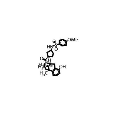 COc1ccc(S(=O)(=O)NC2CC[C@@H](C(=O)N3CC[C@@]4(C)c5cccc(O)c5C[C@@H]3C4(C)C)C2)cc1